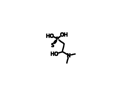 CN(C)C(O)CP(O)(O)=S